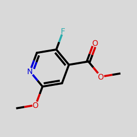 COC(=O)c1cc(OC)ncc1F